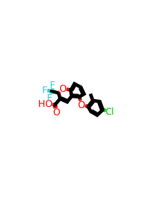 Cc1cc(Cl)ccc1Oc1cccc2c1C=C(C(=O)O)C(C(F)(F)F)O2